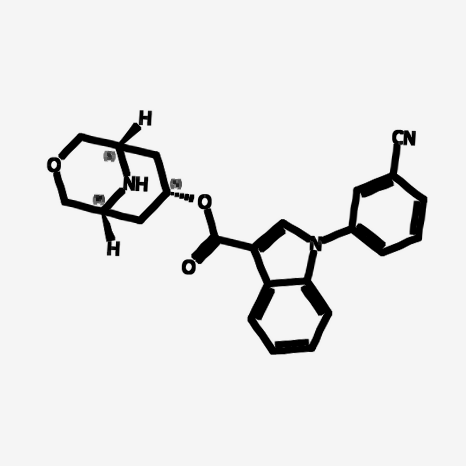 N#Cc1cccc(-n2cc(C(=O)O[C@H]3C[C@H]4COC[C@@H](C3)N4)c3ccccc32)c1